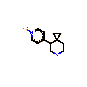 [O-][n+]1ccc(C2CNCCC23CC3)cc1